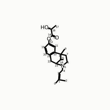 CC(C)=CCN1CCC2(C)c3cc(OC(=O)C(C)O)ccc3CC1C2C